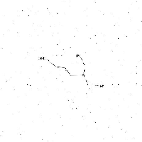 CC(C)[CH2][Al]([CH2]CCC=O)[CH2]C(C)C